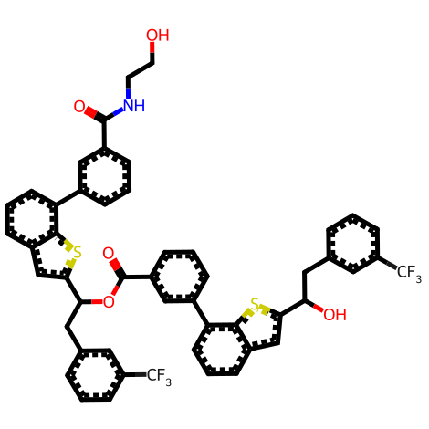 O=C(NCCO)c1cccc(-c2cccc3cc(C(Cc4cccc(C(F)(F)F)c4)OC(=O)c4cccc(-c5cccc6cc(C(O)Cc7cccc(C(F)(F)F)c7)sc56)c4)sc23)c1